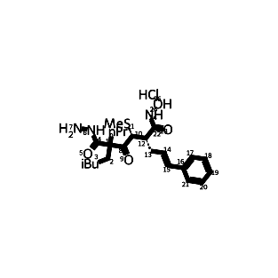 CCCC(CC(C)CC)(C(=O)NN)C(=O)[C@H](SC)[C@@H](C/C=C/c1ccccc1)C(=O)NO.Cl